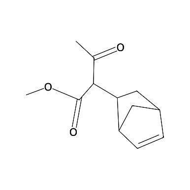 COC(=O)C(C(C)=O)C1CC2C=CC1C2